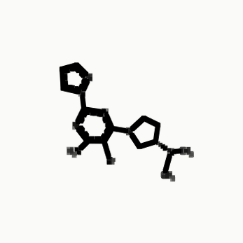 CN(C)[C@H]1CCN(c2nc(-n3cccn3)nc(N)c2Br)C1